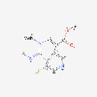 C/N=C\N(/C=C(/C(=O)OC(C)C)c1cncc(F)c1)NC